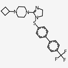 FC(F)(F)c1ccc(-c2ccc(SN3CCN=C3N3CCN(C4CCC4)CC3)cc2)cc1